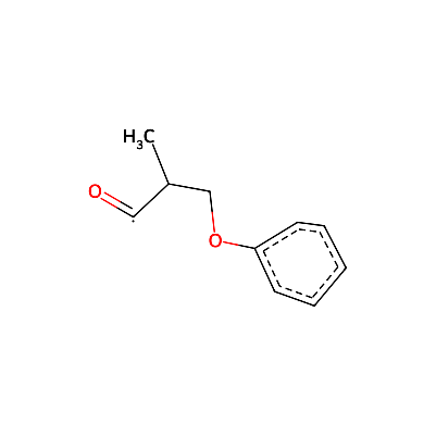 CC([C]=O)COc1ccccc1